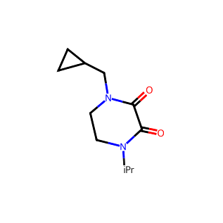 CC(C)N1CCN(CC2CC2)C(=O)C1=O